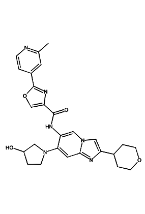 Cc1cc(-c2nc(C(=O)Nc3cn4cc(C5CCOCC5)nc4cc3N3CCC(O)C3)co2)ccn1